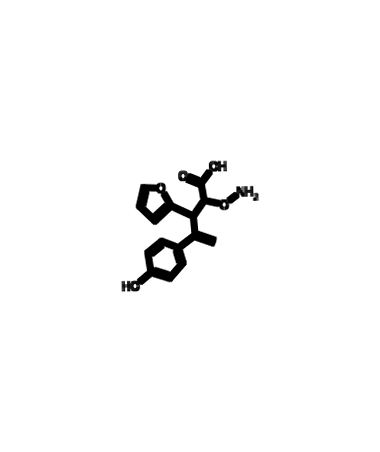 C=C(c1ccc(O)cc1)C(c1ccco1)C(ON)C(=O)O